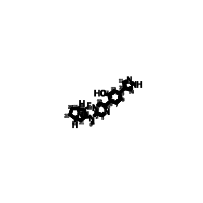 CN(c1cnc(-c2ccc(-c3cn[nH]c3)cc2O)cn1)[C@H]1C[C@@H]2CC[C@@H](N2)[C@@H]1F